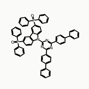 O=P(c1ccccc1)(c1ccccc1)c1ccc2c(c1)c1cc(P(=O)(c3ccccc3)c3ccccc3)ccc1n2-c1nc(-c2ccc(-c3ccccc3)cc2)nc(-c2ccc(-c3ccccc3)cc2)n1